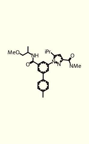 CNC(=O)c1cc(C(C)C)n(-c2cc(C(=O)NC(C)COC)cc(-c3ccc(C)cc3)c2)n1